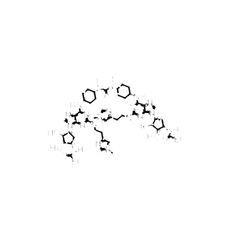 CCC(=O)N[C@H]1C[C@@H](n2cnc3c(N[C@H]4CC[C@H](NC(=O)N[C@H]5CC[C@H](Nc6nc(NCCc7cn(C)cn7)nc7c6ncn7[C@@H]6C[C@H](NC(=O)CC)[C@@H](O)[C@H]6O)CC5)CC4)nc(NCCc4cn(C)cn4)nc32)[C@H](O)[C@@H]1O